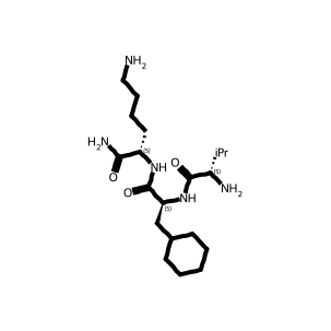 CC(C)[C@H](N)C(=O)N[C@@H](CC1CCCCC1)C(=O)N[C@@H](CCCCN)C(N)=O